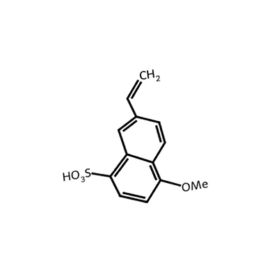 C=Cc1ccc2c(OC)ccc(S(=O)(=O)O)c2c1